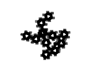 c1ccc(-c2ccc(-n3c4ccccc4c4ccc5c6ccc7c8ccccc8n(-c8ccc(-c9nc(-c%10cccc(-c%11ccccc%11)c%10)nc(-c%10cccc(-c%11ccccc%11)c%10)n9)cc8)c7c6sc5c43)cc2)cc1